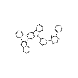 c1ccc(-c2ncnc(-c3cccc(-n4c5ccccc5c5cc6c7ccccc7c7cc8ccccc8n7c6cc54)c3)n2)cc1